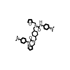 CN(C)c1ccc(NC(=O)N(Cc2ccco2)CC2CCC(CN(Cc3ccco3)C(=O)Nc3ccc(N(C)C)cc3)CC2)cc1